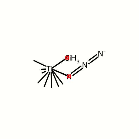 [CH3][Ti]([CH3])([CH3])([CH3])([CH3])([CH3])([CH3])([CH3])([CH3])([CH3])([SiH3])[N]=[N+]=[N-]